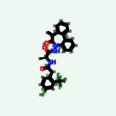 CC1C(=O)N(NC(=O)[C@H](C)NC(=O)Cc2ccc(F)cc2C(F)(F)F)c2ccccc2-c2ccccc21